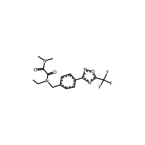 CCN(Cc1ccc(-c2noc(C(F)(F)F)n2)cc1)C(=O)C(=O)N(C)C